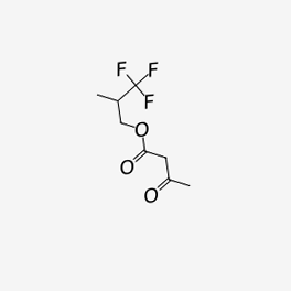 CC(=O)CC(=O)OCC(C)C(F)(F)F